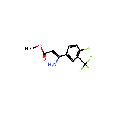 COC(=O)C=C(N)c1ccc(F)c(C(F)(F)F)c1